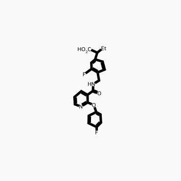 CCC(C(=O)O)c1ccc(CNC(=O)c2cccnc2Oc2ccc(F)cc2)c(F)c1